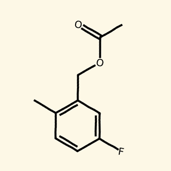 CC(=O)OCc1cc(F)ccc1C